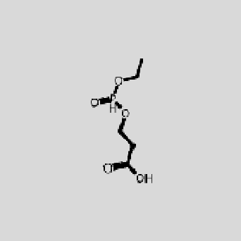 CCO[PH](=O)OCCC(=O)O